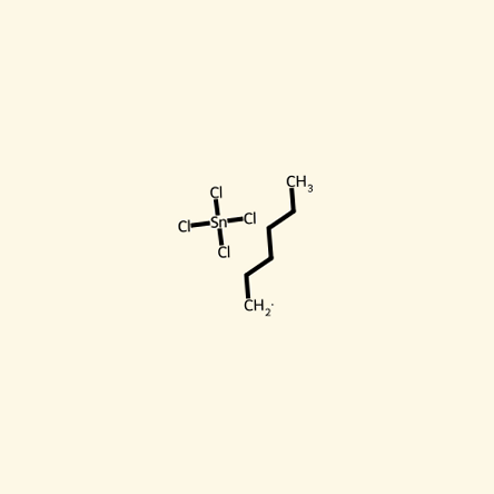 [CH2]CCCCC.[Cl][Sn]([Cl])([Cl])[Cl]